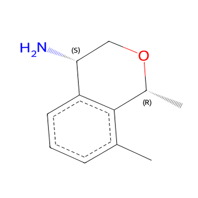 Cc1cccc2c1[C@@H](C)OC[C@H]2N